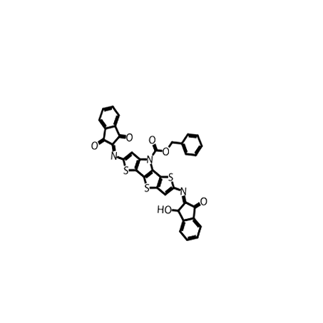 O=C1/C(=N/c2cc3sc4c5sc(N=c6c(=O)c7ccccc7c6=O)cc5n(C(=O)OCc5ccccc5)c4c3s2)C(O)c2ccccc21